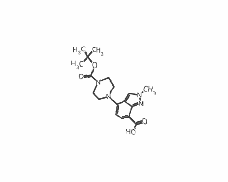 Cn1cc2c(N3CCN(C(=O)OC(C)(C)C)CC3)ccc(C(=O)O)c2n1